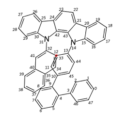 c1ccc(-c2ccccc2-c2ccc(-n3c4ccccc4c4ccc5c6ccccc6n(-c6ccc7ccccc7c6)c5c43)cc2)cc1